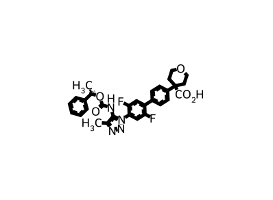 Cc1nnn(-c2cc(F)c(-c3ccc(C4(C(=O)O)CCOCC4)cc3)cc2F)c1NC(=O)O[C@H](C)c1ccccc1